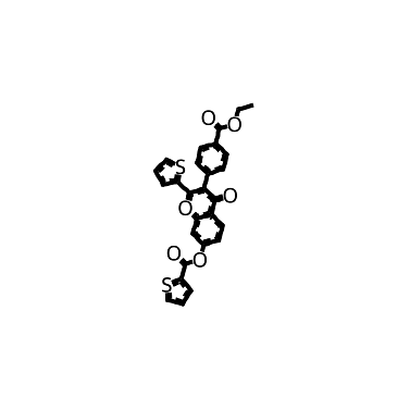 CCOC(=O)c1ccc(-c2c(-c3cccs3)oc3cc(OC(=O)c4cccs4)ccc3c2=O)cc1